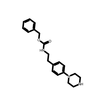 O=C(NCCc1ccc(N2CCNCC2)cc1)OCc1ccccc1